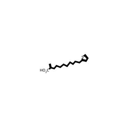 C=C(CCCCCCCCCc1cccs1)C(=O)O